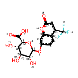 O=C(O)[C@H]1OC(Oc2ccc3c(C(F)(F)F)cc(=O)oc3c2)[C@H](O)[C@@H](O)[C@@H]1O